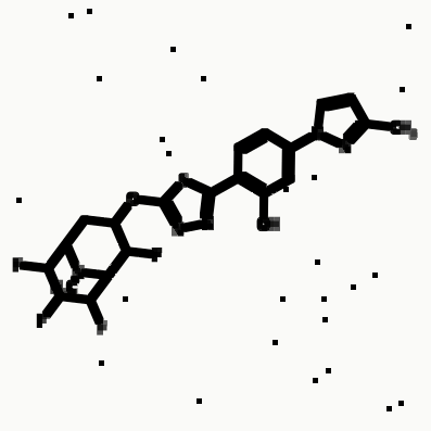 Cc1ccn(-c2ccc(-c3nnc(OC4CC5C(F)C(F)C(F)C(C4F)N5C)s3)c(O)c2)n1